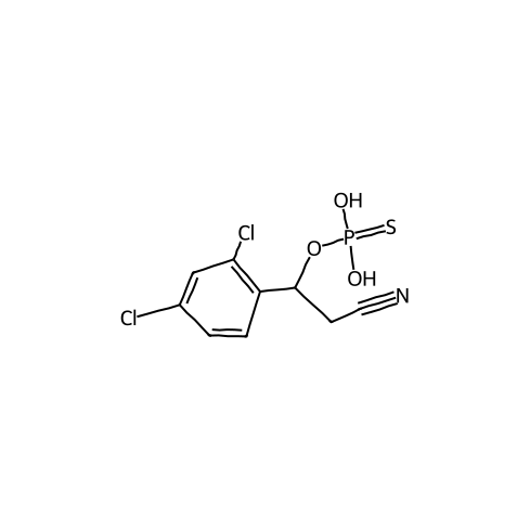 N#CCC(OP(O)(O)=S)c1ccc(Cl)cc1Cl